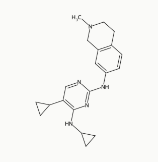 CN1CCc2ccc(Nc3ncc(C4CC4)c(NC4CC4)n3)cc2C1